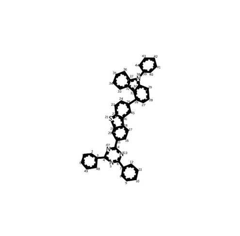 c1ccc(-c2nc(-c3ccccc3)nc(-c3ccc4c(c3)sc3ccc(-c5cccc6c5c5ccccc5n6-c5ccccc5)cc34)n2)cc1